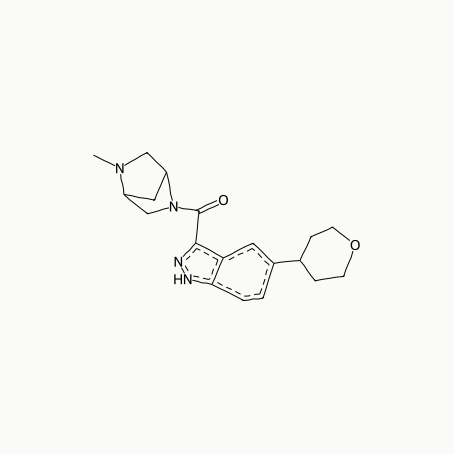 CN1CC2CC1CN2C(=O)c1n[nH]c2ccc(C3CCOCC3)cc12